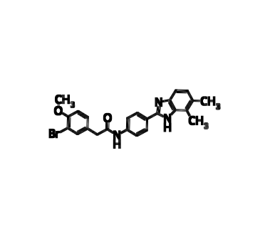 COc1ccc(CC(=O)Nc2ccc(-c3nc4ccc(C)c(C)c4[nH]3)cc2)cc1Br